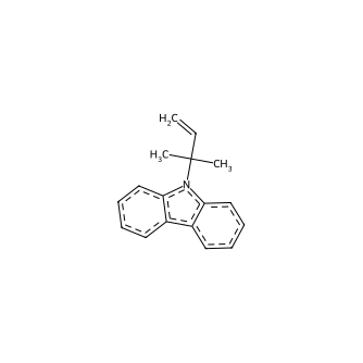 C=CC(C)(C)n1c2ccccc2c2ccccc21